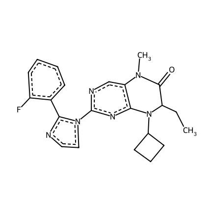 CCC1C(=O)N(C)c2cnc(-n3ccnc3-c3ccccc3F)nc2N1C1CCC1